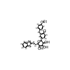 CCOc1ccc(Cc2cc([C@@H]3O[C@H](CSc4nc5ccccc5s4)[C@@H](O)[C@H](O)[C@H]3O)ccc2Cl)cc1